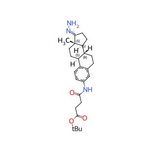 CC(C)(C)OC(=O)CCC(=O)Nc1ccc2c(c1)CC[C@@H]1[C@@H]2CC[C@]2(C)/C(=N/N)CC[C@@H]12